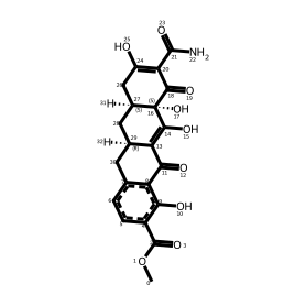 COC(=O)c1ccc2c(c1O)C(=O)C1=C(O)[C@]3(O)C(=O)C(C(N)=O)=C(O)C[C@@H]3C[C@@H]1C2